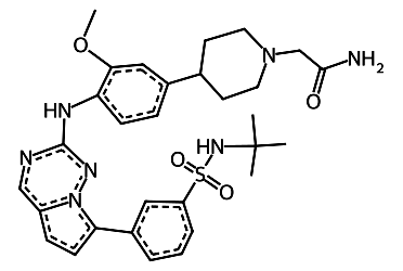 COc1cc(C2CCN(CC(N)=O)CC2)ccc1Nc1ncc2ccc(-c3cccc(S(=O)(=O)NC(C)(C)C)c3)n2n1